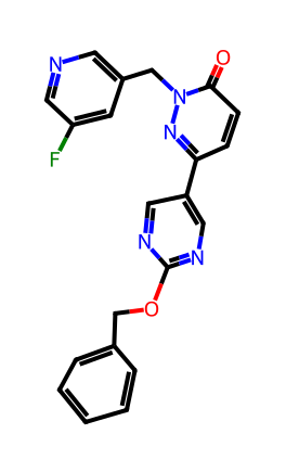 O=c1ccc(-c2cnc(OCc3ccccc3)nc2)nn1Cc1cncc(F)c1